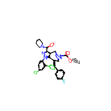 CC(C)(C)OC(=O)N1C/C(=C\c2ccc(F)cc2)c2c(c(C(=O)N3CCCCC3)nn2-c2ccc(Cl)cc2Cl)C1